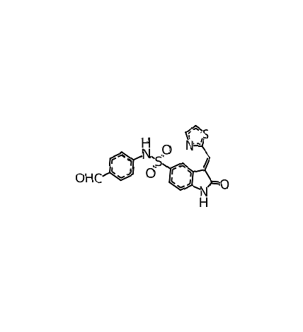 O=Cc1ccc(NS(=O)(=O)c2ccc3c(c2)/C(=C\c2nccs2)C(=O)N3)cc1